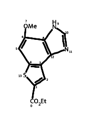 CCOC(=O)c1cc2c(cc(OC)c3[nH]cnc32)s1